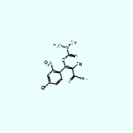 CN(C)C(=O)OC(=C(C#N)C(=O)C(C)(C)C)c1ccc(Cl)cc1[N+](=O)[O-]